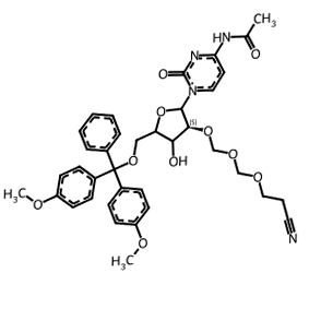 COc1ccc(C(OCC2OC(n3ccc(NC(C)=O)nc3=O)[C@@H](OCOCOCCC#N)C2O)(c2ccccc2)c2ccc(OC)cc2)cc1